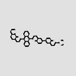 c1cnc2c(c1)ccc1ccc(-c3c4ccccc4c(-c4ccc5cc(-c6ccc7nc(-c8ncncn8)ccc7c6)ccc5n4)c4ccccc34)nc12